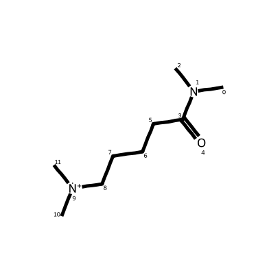 CN(C)C(=O)CCCC[N+](C)C